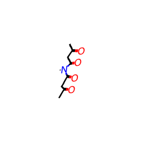 CC(=O)CC(=O)[N]C(=O)CC(C)=O